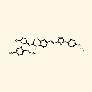 COCc1ccc(C)cc1N1C(=O)CS/C1=N\C(=O)Nc1ccc(/C=C/c2ncn(-c3ccc(OC(F)(F)F)cc3)n2)cc1F